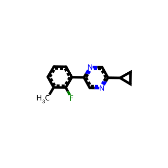 Cc1cccc(-c2cnc(C3CC3)cn2)c1F